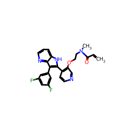 C=CC(=O)N(C)CCOc1cnccc1-c1[nH]c2cccnc2c1-c1cc(F)cc(F)c1